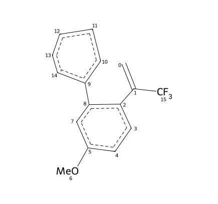 C=C(c1ccc(OC)cc1-c1ccccc1)C(F)(F)F